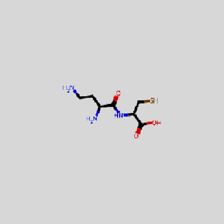 NCCC(N)C(=O)NC(CS)C(=O)O